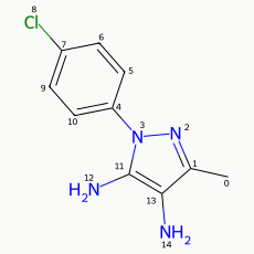 Cc1nn(-c2ccc(Cl)cc2)c(N)c1N